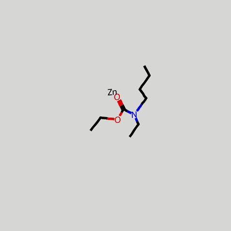 CCCCN(CC)C(=O)OCC.[Zn]